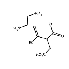 CCC(=O)C(CC(=O)O)C(=O)CC.NCCN